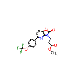 COC(=O)CCn1c(=O)oc2ccc(-c3ccc(OC(F)(F)F)cc3)nc21